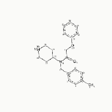 Cc1ccc(CN(C(=O)COc2ccccc2)C2CCNCC2)cc1